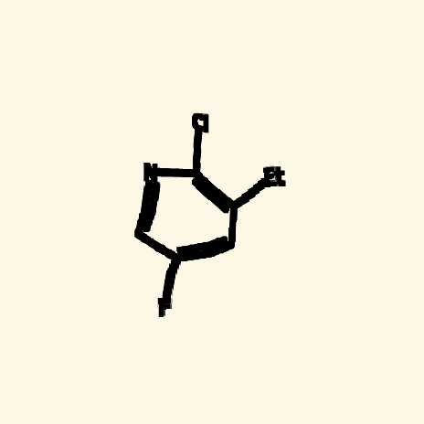 CCc1cc(F)cnc1Cl